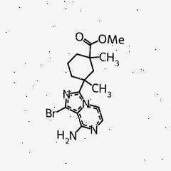 COC(=O)C1(C)CCCC(C)(c2nc(Br)c3c(N)nccn23)C1